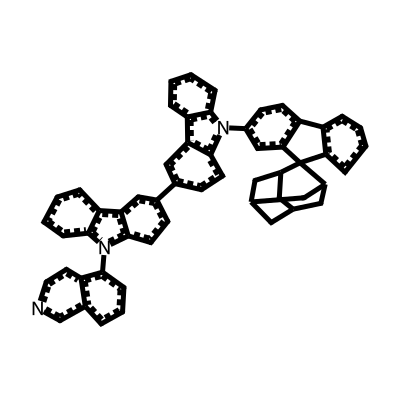 c1ccc2c(c1)-c1ccc(-n3c4ccccc4c4cc(-c5ccc6c(c5)c5ccccc5n6-c5cccc6cnccc56)ccc43)cc1C21C2CC3CC(C2)CC1C3